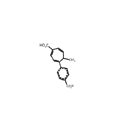 CC1C=CC(C(=O)O)=CC=C1c1ccc(C(=O)O)cc1